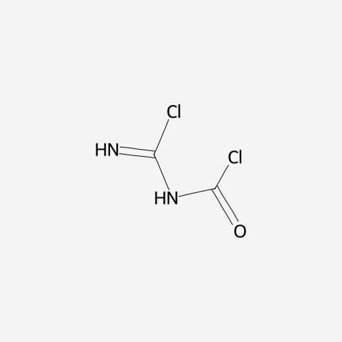 N=C(Cl)NC(=O)Cl